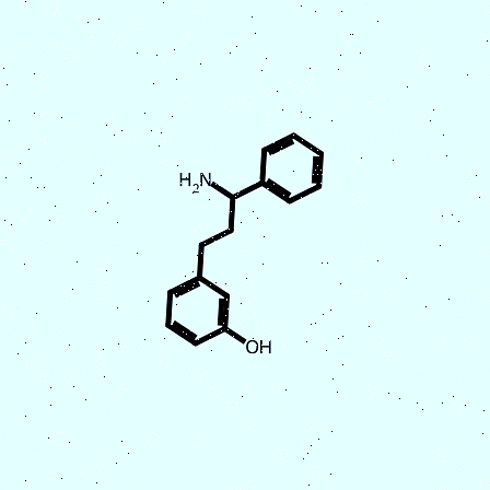 NC(CCc1cccc(O)c1)c1ccccc1